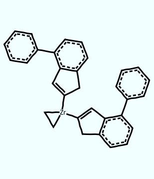 C1=[C]([Zr]2([C]3=Cc4c(cccc4-c4ccccc4)C3)[CH2][CH2]2)Cc2cccc(-c3ccccc3)c21